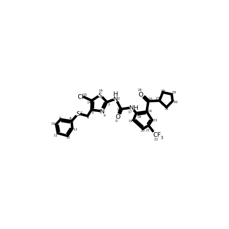 O=C(Nc1nc(CSc2ccccc2)c(Cl)s1)Nc1ccc(C(F)(F)F)cc1C(=O)C1CCCC1